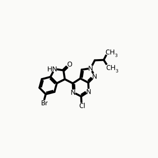 CC(C)Cn1cc2c(C3C(=O)Nc4ccc(Br)cc43)nc(Cl)nc2n1